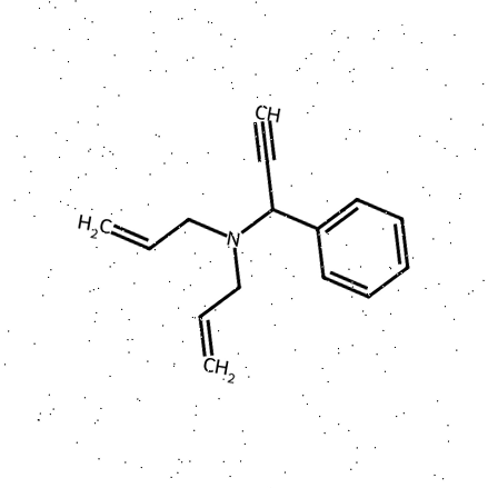 C#CC(c1ccccc1)N(CC=C)CC=C